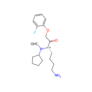 NCCCC[C@@H](C(=O)COc1ccccc1F)N(C=O)C1CCCC1